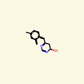 C=c1cc(C)cc/c1=C/C1=NC=NC(O)C1